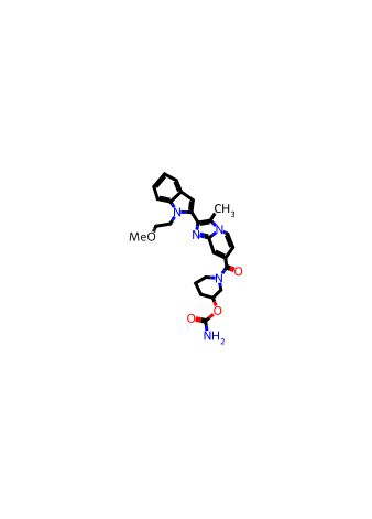 COCCn1c(-c2nc3cc(C(=O)N4CCCC(OC(N)=O)C4)ccn3c2C)cc2ccccc21